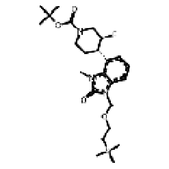 Cn1c(=O)n(COCC[Si](C)(C)C)c2cccc([C@@H]3CCN(C(=O)OC(C)(C)C)C[C@H]3F)c21